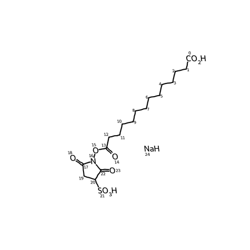 O=C(O)CCCCCCCCCCCCC(=O)ON1C(=O)CC(S(=O)(=O)O)C1=O.[NaH]